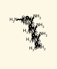 COc1ccc(NC(=O)C(CCCCN)NC(=O)c2cc(NC(=O)C(CCCCN)NC(=O)c3cc(NC(=O)C(CCCCN)NC(=O)c4cccc(NC(=O)C(N)CCCCN)c4)ccc3OC)ccc2OC)cc1C(N)=O